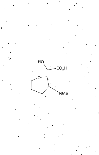 CNC1CCCCC1.O=C(O)CO